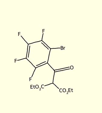 CCOC(=O)C(C(=O)OCC)C(=O)c1c(F)c(F)c(F)c(F)c1Br